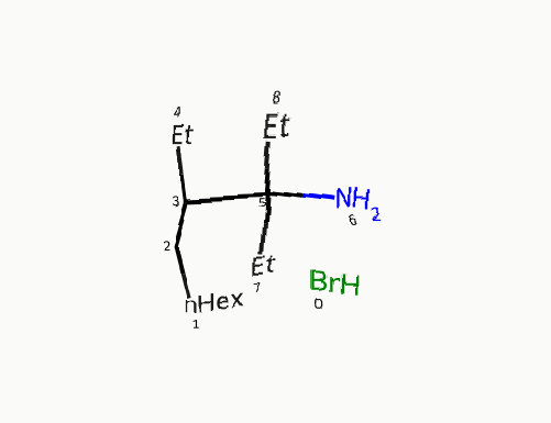 Br.CCCCCCCC(CC)C(N)(CC)CC